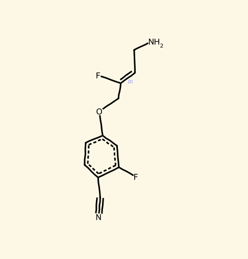 N#Cc1ccc(OC/C(F)=C/CN)cc1F